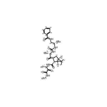 CCCNC(=O)C(=O)C(CCC)NC(=O)[C@@H]1[C@@H]2[C@H](CN1C(=O)[C@@H](NC(=O)N[C@H](CNC(=O)c1ccccc1)C(C)(C)C)C(C)(C)C)C2(C)C